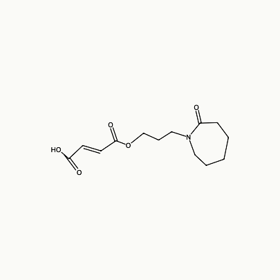 O=C(O)C=CC(=O)OCCCN1CCCCCC1=O